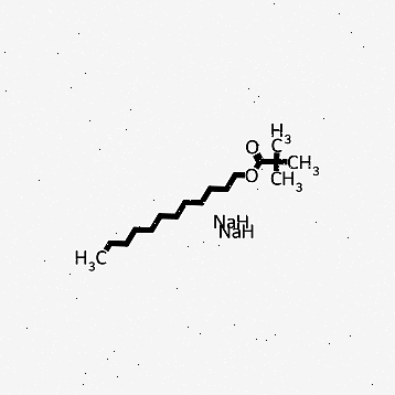 CCCCCCCCCCCCOC(=O)C(C)(C)C.[NaH].[NaH]